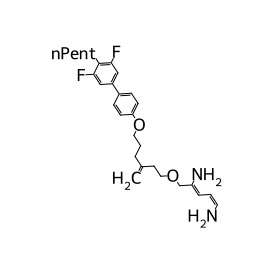 C=C(CCCOc1ccc(-c2cc(F)c(CCCCC)c(F)c2)cc1)CCOC/C(N)=C/C=C\N